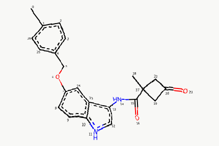 Cc1ccc(COc2ccc3[nH]cc(NC(=O)C4(C)CC(=O)C4)c3c2)cc1